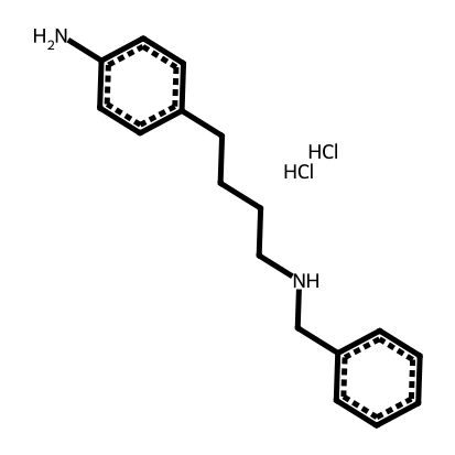 Cl.Cl.Nc1ccc(CCCCNCc2ccccc2)cc1